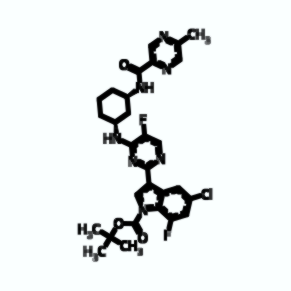 Cc1cnc(C(=O)N[C@@H]2CCC[C@H](Nc3nc(-c4cn(C(=O)OC(C)(C)C)c5c(F)cc(Cl)cc45)ncc3F)C2)cn1